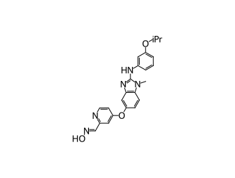 CC(C)Oc1cccc(Nc2nc3cc(Oc4ccnc(C=NO)c4)ccc3n2C)c1